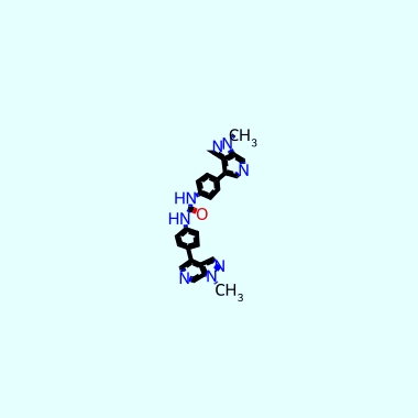 Cn1ncc2c(-c3ccc(NC(=O)Nc4ccc(-c5cncc6c5cnn6C)cc4)cc3)cncc21